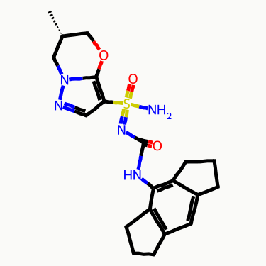 C[C@@H]1COc2c(S(N)(=O)=NC(=O)Nc3c4c(cc5c3CCC5)CCC4)cnn2C1